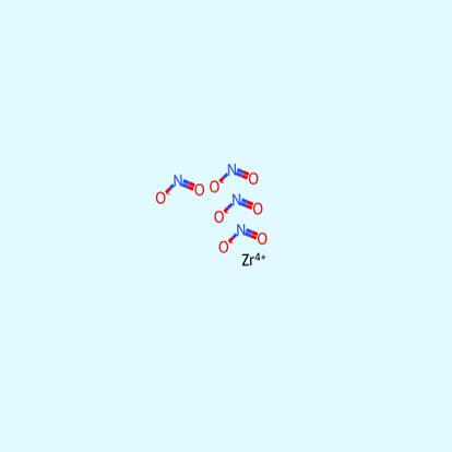 O=N[O-].O=N[O-].O=N[O-].O=N[O-].[Zr+4]